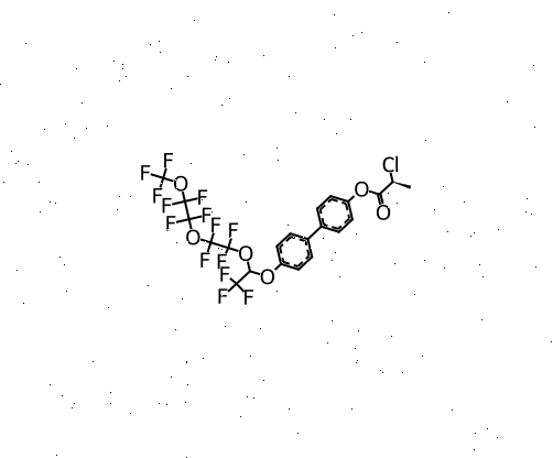 C[C@H](Cl)C(=O)Oc1ccc(-c2ccc(OC(OC(F)(F)C(F)(F)OC(F)(F)C(F)(F)OC(F)(F)F)C(F)(F)F)cc2)cc1